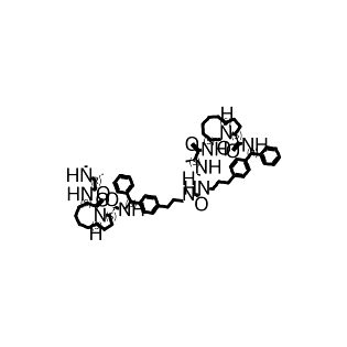 CN[C@@H](C)C(=O)N[C@H]1CCCC[C@H]2CC[C@@H](C(=O)N[C@H](c3ccccc3)c3ccc(CCCNC(=O)NCCCc4ccc([C@@H](NC(=O)[C@@H]5CC[C@@H]6CCCC[C@H](NC(=O)[C@@H](C)NC)C(=O)N65)c5ccccc5)cc4)cc3)N2C1=O